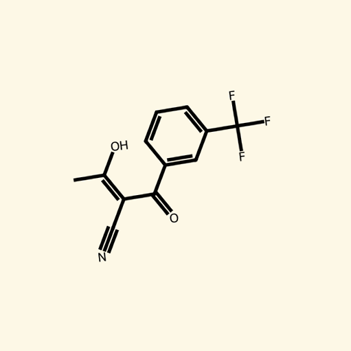 CC(O)=C(C#N)C(=O)c1cccc(C(F)(F)F)c1